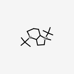 CC(C)(C)N1CCCC2C1CC[N+]2(C)C(C)(C)C